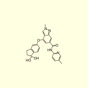 Cc1ccc(NC(=O)c2cc(Oc3ccc4c(c3)CCS4(O)O)c3cn(C)nc3c2)nc1